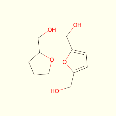 OCC1CCCO1.OCc1ccc(CO)o1